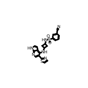 N#Cc1cccc(S(=O)(=O)NC2CC(Nc3c(-c4nccs4)cnc4[nH]ccc34)C2)c1